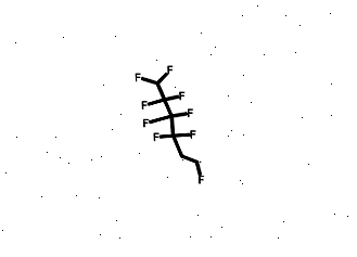 F[CH]CC(F)(F)C(F)(F)C(F)(F)C(F)F